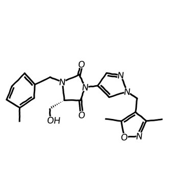 Cc1cccc(CN2C(=O)N(c3cnn(Cc4c(C)noc4C)c3)C(=O)[C@@H]2CO)c1